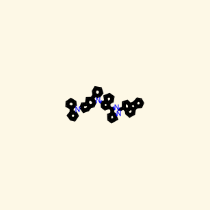 c1ccc2c(c1)-c1cccc3c(-c4nc(-c5ccc(-n6c7ccccc7c7cc8cc(-n9c%10ccccc%10c%10ccccc%109)ccc8cc76)c6ccccc56)c5ccccc5n4)ccc-2c13